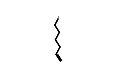 [CH]=CCCCCI